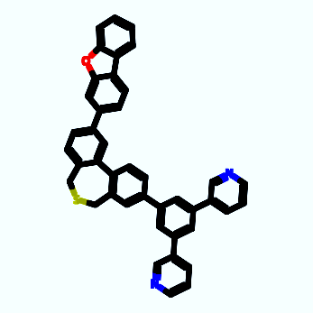 c1cncc(-c2cc(-c3cccnc3)cc(-c3ccc4c(c3)CSCc3ccc(-c5ccc6c(c5)oc5ccccc56)cc3-4)c2)c1